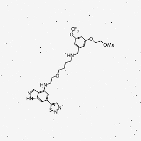 COCCOc1cc(CNCCCCOCCNc2cc(-c3cnns3)cc3[nH]ncc23)cc(OC(F)(F)F)c1